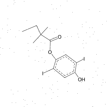 CCC(C)(C)C(=O)Oc1cc(I)c(O)cc1I